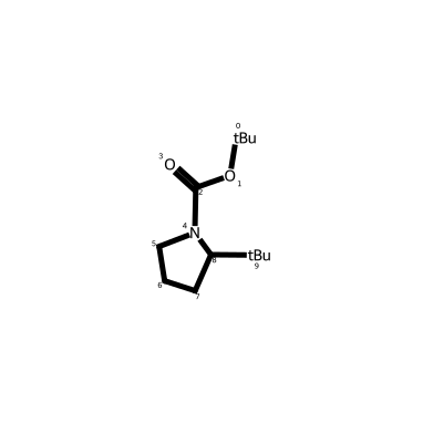 CC(C)(C)OC(=O)N1CCCC1C(C)(C)C